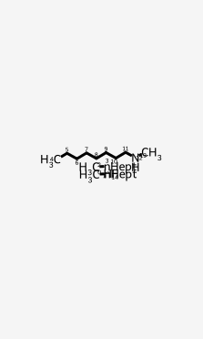 CCCCCCCC.CCCCCCCC.CCCCCCCCNC.F